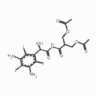 CC(=O)OCC(COC(C)=O)C(=O)NC(=O)C(O)c1c(I)c(N)c(I)c(N)c1I